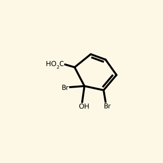 O=C(O)C1C=CC=C(Br)C1(O)Br